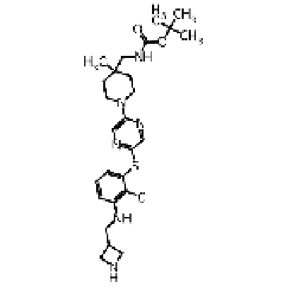 CC1(CNC(=O)OC(C)(C)C)CCN(c2cnc(Sc3cccc(NCC4CNC4)c3Cl)cn2)CC1